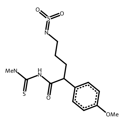 CNC(=S)NC(=O)C(CCCN=S(=O)=O)c1ccc(OC)cc1